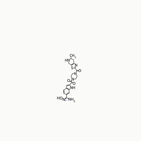 CC1Cc2nc(C(=O)N3CCN(S(=O)(=O)c4cc5ccc(/C(N)=N\O)cc5[nH]4)CC3)sc2CN1